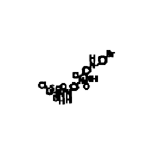 O=C(Nc1ccc(-n2c(=O)[nH]c3cc(NCc4ccc(Br)cc4)ccc3c2=O)cc1)NS(=O)(=O)c1ccc(Cl)s1